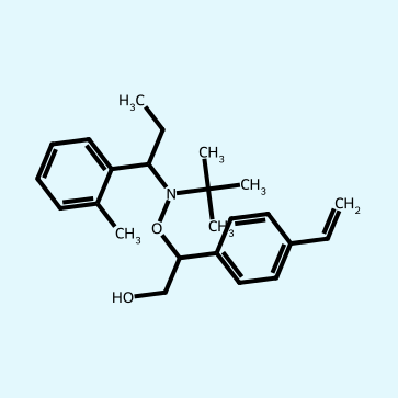 C=Cc1ccc(C(CO)ON(C(CC)c2ccccc2C)C(C)(C)C)cc1